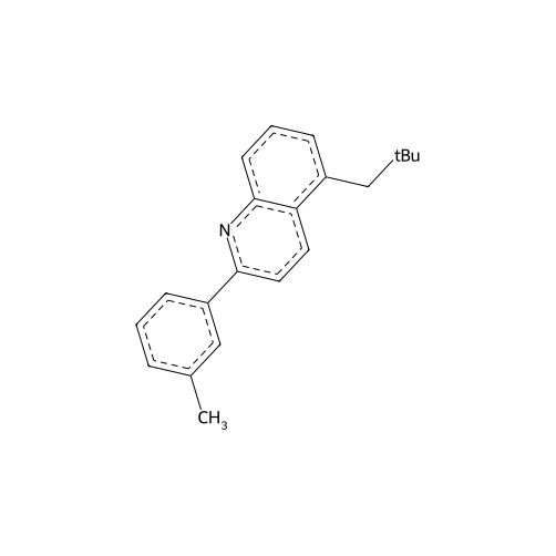 Cc1cccc(-c2ccc3c(CC(C)(C)C)cccc3n2)c1